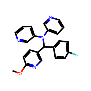 COc1ccc(C(c2ccc(F)cc2)N(c2cccnc2)c2cccnc2)cn1